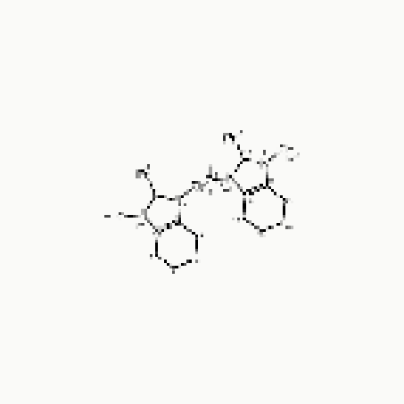 CC(C)C1N(C)C2=C(CCCC2)N1C.CC(C)C1N(C)C2=C(CCCC2)N1C